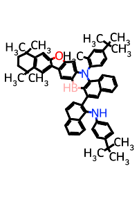 Cc1cc(C(C)(C)C)ccc1N1c2cc3oc4cc5c(cc4c3cc2Bc2c(-c3ccc4ccccc4c3Nc3ccc(C(C)(C)C)cc3)cc3ccccc3c21)C(C)(C)CCC5(C)C